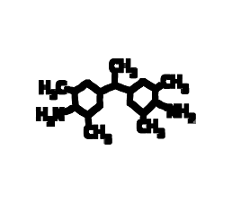 CC1CC(C(C)C2CC(C)C(N)C(C)C2)CC(C)C1N